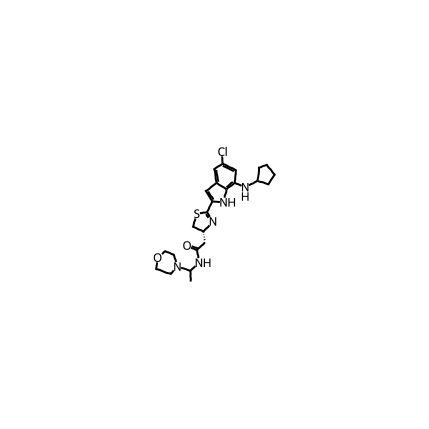 CC(NC(=O)C[C@@H]1CSC(c2cc3cc(Cl)cc(NC4CCCC4)c3[nH]2)=N1)N1CCOCC1